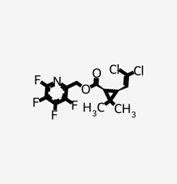 CC1(C)[C@H](C=C(Cl)Cl)[C@@H]1C(=O)OCc1nc(F)c(F)c(F)c1F